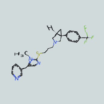 Cn1c(-c2cccnc2)cnc1SCCCN1C[C@H]2C[C@]2(c2ccc(C(F)(F)F)cc2)C1